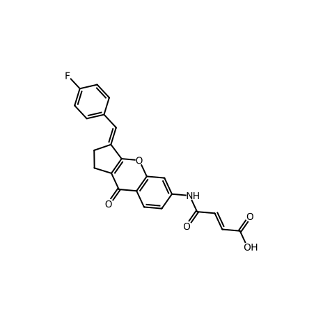 O=C(O)C=CC(=O)Nc1ccc2c(=O)c3c(oc2c1)C(=Cc1ccc(F)cc1)CC3